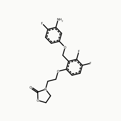 Nc1cc(OCc2c(OCCN3CCOC3=O)ccc(F)c2F)ccc1F